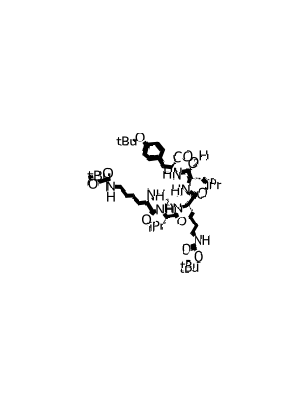 CC(C)C[C@H](NC(=O)[C@H](CCCCNC(=O)OC(C)(C)C)NC(=O)[C@@H](NC(=O)[C@@H](N)CCCCNC(=O)OC(C)(C)C)C(C)C)C(=O)N[C@@H](Cc1ccc(OC(C)(C)C)cc1)C(=O)O